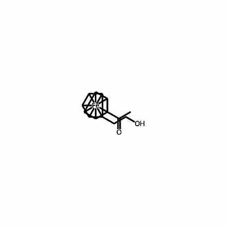 CC(=O)[C]12[CH]3[CH]4[CH]5[CH]1[Fe]45321678[CH]2[CH]1[CH]6[C]7(CCO)[CH]28